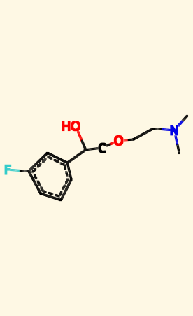 CN(C)CCOCC(O)c1cccc(F)c1